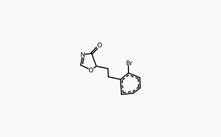 O=C1N=COC1CCc1ccccc1Br